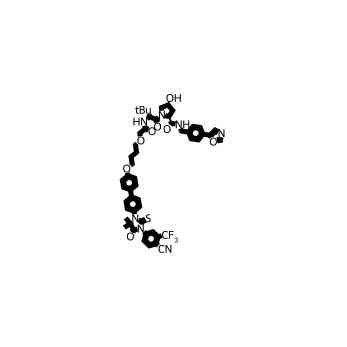 CC(C)(C)C(NC(=O)COCCCCOc1ccc(-c2ccc(N3C(=S)N(c4ccc(C#N)c(C(F)(F)F)c4)C(=O)C3(C)C)cc2)cc1)C(=O)N1C[C@H](O)C[C@H]1C(=O)NCc1ccc(-c2cnco2)cc1